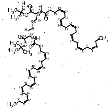 CC/C=C\C/C=C\C/C=C\C/C=C\C/C=C\C/C=C\CCC(=O)N[C@@H](CSSC[C@H](NC(=O)CC/C=C\C/C=C\C/C=C\C/C=C\C/C=C\C/C=C\CC)C(=O)OC(C)(C)C)C(=O)OC(C)(C)C